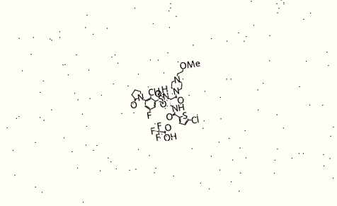 COCCN1CCN(C(=O)[C@H](CNC(=O)c2ccc(Cl)s2)NS(=O)(=O)c2cc(F)cc(N3CCCC3=O)c2C)CC1.O=C(O)C(F)(F)F